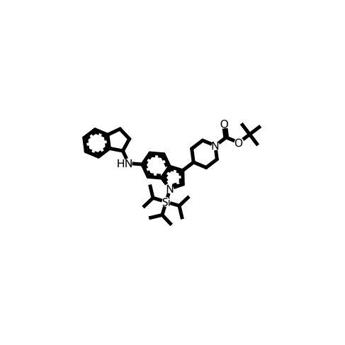 CC(C)[Si](C(C)C)(C(C)C)n1cc(C2CCN(C(=O)OC(C)(C)C)CC2)c2ccc(NC3CCc4ccccc43)cc21